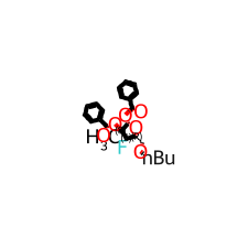 CCCCOC[C@H]1OC(OC(=O)c2ccccc2)[C@](C)(OC(=O)c2ccccc2)[C@H]1F